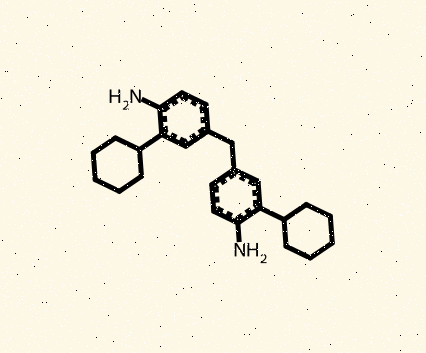 Nc1ccc(Cc2ccc(N)c(C3CCCCC3)c2)cc1C1CCCCC1